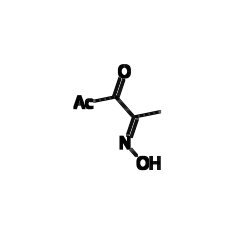 CC(=O)C(=O)C(C)=NO